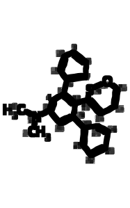 CN(C)c1cc(-c2ccccc2)c(C2=CC=COS2)c(-c2ccccc2)c1